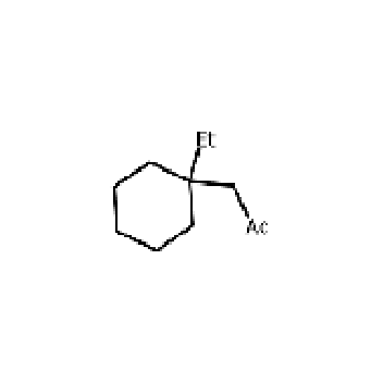 CCC1(CC(C)=O)CCCCC1